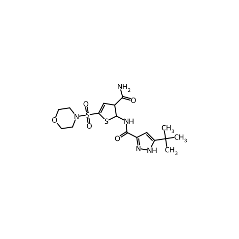 CC(C)(C)c1cc(C(=O)NC2SC(S(=O)(=O)N3CCOCC3)=CC2C(N)=O)n[nH]1